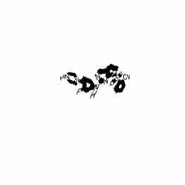 N#Cc1ccccc1S(=O)(=O)n1ccc2cnc(Nc3ccc(N4CCNCC4)c(F)c3)nc21